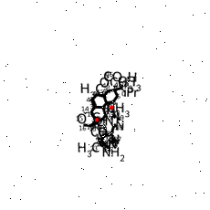 CC(C)[C@@H](C)[C@@]1(C)CC[C@]2(C)[C@H]3CC[C@@H]4[C@@]5(COC[C@@]4(C)[C@@H](OC[C@](C)(N)C(C)C)[C@H](n4ncnc4-c4cccnn4)C5)C3=CC[C@]2(C)[C@@H]1OC(=O)O